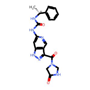 C[C@@H](NC(=O)Nc1cc2[nH]nc(C(=O)N3CNC(=O)C3)c2cn1)c1ccccc1